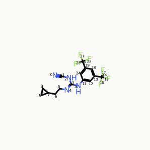 N#CN/C(=N\CCC1CC1)Nc1cc(C(F)(F)F)cc(C(F)(F)F)c1